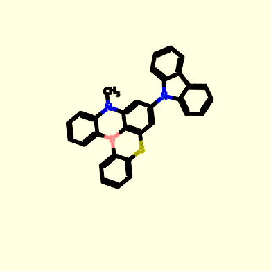 CN1c2ccccc2B2c3ccccc3Sc3cc(-n4c5ccccc5c5ccccc54)cc1c32